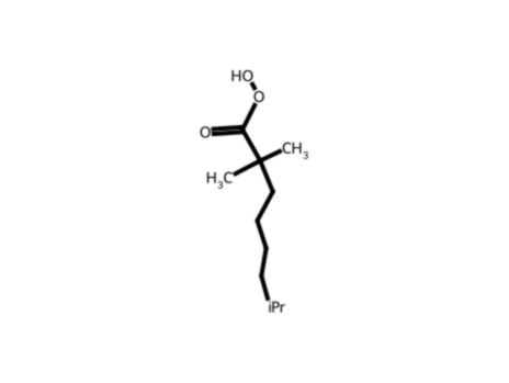 CC(C)CCCCC(C)(C)C(=O)OO